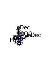 CCCCCCCCCCCCCCCCC(c1ccccc1)[N+](C)(CCCC(=O)[O-])C(CCCCCCCCCCCCCCCC)c1ccccc1